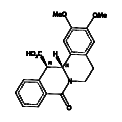 COc1cc2c(cc1OC)[C@H]1[C@H](C(=O)O)c3ccccc3C(=O)N1CC2